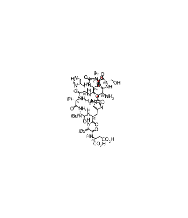 CC[C@H](C)[C@H](NC(=O)[C@H](Cc1c[nH]cn1)NC(=O)[C@@H](NC(=O)[C@@H](NC(=O)[C@H](Cc1c[nH]cn1)NC(=O)[C@H](CC(N)=O)NC(=O)[C@@H](NC(=O)[C@H](CO)NC(=O)[C@@H](N)CC(N)=O)C(C)C)C(C)C)[C@@H](C)CC)C(=O)N[C@@H](CC(=O)O)C(=O)O